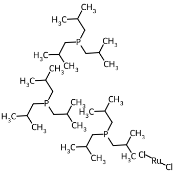 CC(C)CP(CC(C)C)CC(C)C.CC(C)CP(CC(C)C)CC(C)C.CC(C)CP(CC(C)C)CC(C)C.[Cl][Ru][Cl]